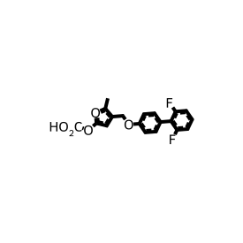 Cc1oc(OC(=O)O)cc1COc1ccc(-c2c(F)cccc2F)cc1